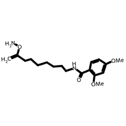 C=C(CCCCCCCNC(=O)c1ccc(OC)cc1OC)ON